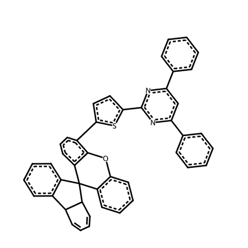 C1=CC2c3ccccc3C3(c4ccccc4Oc4c(-c5ccc(-c6nc(-c7ccccc7)cc(-c7ccccc7)n6)s5)cccc43)C2C=C1